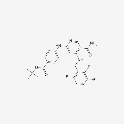 CC(C)(C)OC(=O)c1ccc(Nc2cc(NCc3c(F)ccc(F)c3F)c(C(N)=O)cn2)cc1